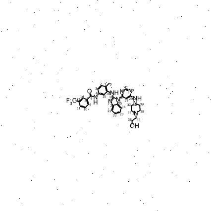 Cc1ccc(NC(=O)c2cccc(C(F)(F)F)c2)cc1Nc1nc2ccccc2n1-c1cc(NN2CCN(CCO)CC2)ncn1